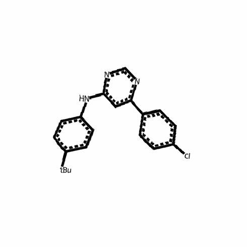 CC(C)(C)c1ccc(Nc2cc(-c3ccc(Cl)cc3)ncn2)cc1